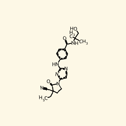 CCC1(C#N)CCN(c2ccnc(Nc3ccc(C(=O)NC(C)(C)CO)cc3)n2)C1=O